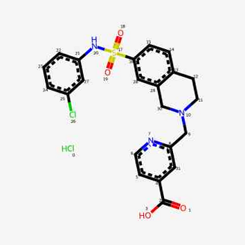 Cl.O=C(O)c1ccnc(CN2CCc3ccc(S(=O)(=O)Nc4cccc(Cl)c4)cc3C2)c1